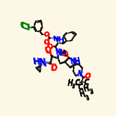 CC(C)(C)C(=O)N1CCC2(CC1)CC(CC(NC(=O)[C@H](CC1CCCCC1)NC(=O)OCc1cccc(Cl)c1)C(=O)C(=O)NC1CC1)C(=O)N2